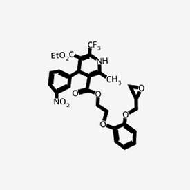 CCOC(=O)C1=C(C(F)(F)F)NC(C)=C(C(=O)OCCOc2ccccc2OCC2CO2)C1c1cccc([N+](=O)[O-])c1